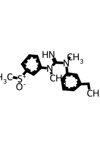 CCc1cccc(N(C)C(=N)N(C)c2cccc([S+](C)[O-])c2)c1